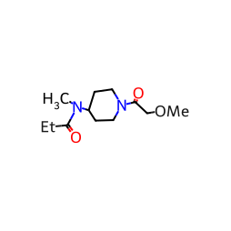 CCC(=O)N(C)C1CCN(C(=O)COC)CC1